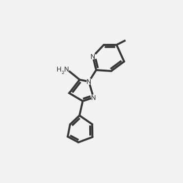 Cc1ccc(-n2nc(-c3ccccc3)cc2N)nc1